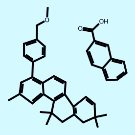 COCc1ccc(-c2cc(C)cc3c4c(ccc23)C2=C(CC(C)(C)C=C2)CC4(C)C)cc1.O=C(O)c1ccc2ccccc2c1